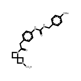 COc1ccc(CNC(=O)Nc2ccc(CC(=O)N3CCC34CN(C(=O)O)C4)cc2)cc1